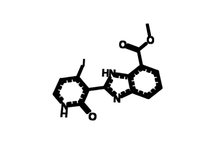 COC(=O)c1cccc2nc(-c3c(I)cc[nH]c3=O)[nH]c12